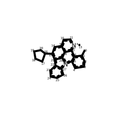 Cc1cccc2c1c1c3c(cc[n+]1C)cc(C1CCCC1)c1c4ccccc4n2c13